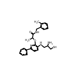 Cc1ccccc1CNC(=O)C(C)Oc1nc(-c2ccccc2)ccc1NCC(N)CS